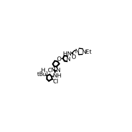 CCN1CCN(CC(=O)Nc2cc(Oc3ccc4c(c3)nc(Nc3cc(C(C)(C)C)ccc3Cl)n4C)ccn2)CC1